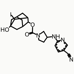 N#Cc1ccc(NC2CCN(C(=O)OC3C4CC5CC3C(I)C(O)(C5)C4)C2)nc1